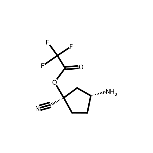 N#C[C@@]1(OC(=O)C(F)(F)F)CC[C@@H](N)C1